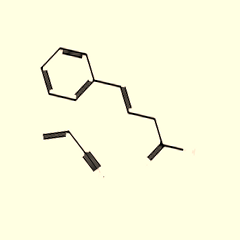 C=CC#N.O=C(O)CC=Cc1ccccc1